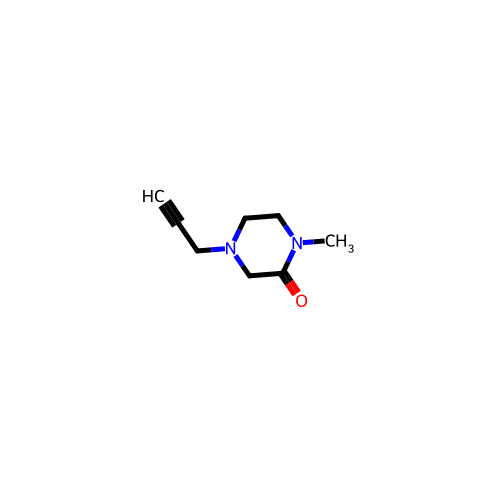 C#CCN1CCN(C)C(=O)C1